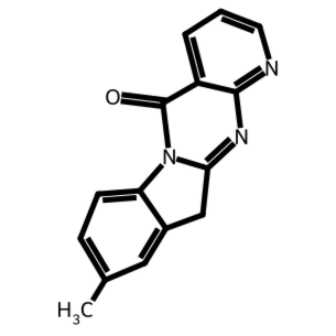 Cc1ccc2c(c1)Cc1nc3ncccc3c(=O)n1-2